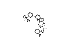 Cc1nc2ccc(-c3cccc(S(C)(=O)=O)c3)cn2c1CN1C(=O)[C@@H](C)Oc2c(F)cccc21